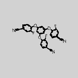 N#Cc1ccc(Oc2cc(Oc3ccc(C#N)cc3F)cc(Oc3ccc(C#N)cc3F)c2)c(F)c1